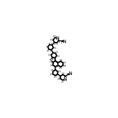 N#Cc1cc(-c2cccc(-c3ccc4c(c3)sc3cc(-c5cccc(-c6ccnc(C#N)c6)c5)c5ccccc5c34)c2)ccn1